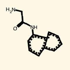 NCC(=O)Nc1cccc2ccccc12